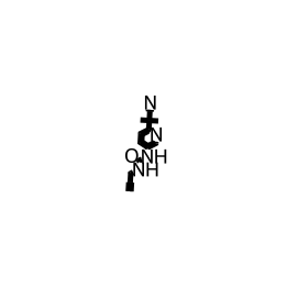 C#CCNC(=O)Nc1ccc(C(C)(C)C#N)nc1